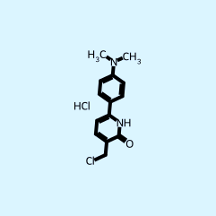 CN(C)c1ccc(-c2ccc(CCl)c(=O)[nH]2)cc1.Cl